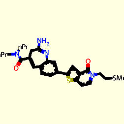 CCCN(CCC)C(=O)C1=Cc2ccc(-c3cc4c(=O)n(CCSC)ccc4s3)cc2N=C(N)C1